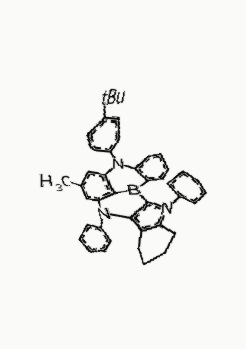 Cc1cc2c3c(c1)N(c1ccccc1)c1c4c(n(-c5ccccc5)c1B3c1ccccc1N2c1ccc(C(C)(C)C)cc1)CCCC4